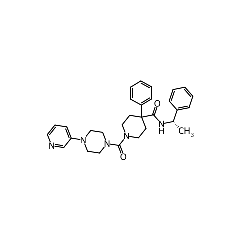 C[C@H](NC(=O)C1(c2ccccc2)CCN(C(=O)N2CCN(c3cccnc3)CC2)CC1)c1ccccc1